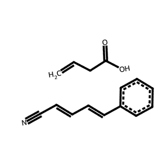 C=CCC(=O)O.N#CC=CC=Cc1ccccc1